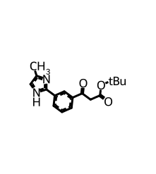 Cc1c[nH]c(-c2cccc(C(=O)CC(=O)OC(C)(C)C)c2)n1